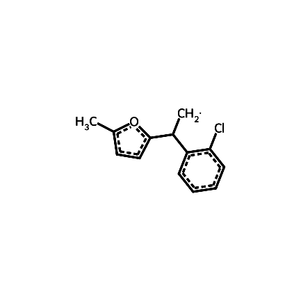 [CH2]C(c1ccc(C)o1)c1ccccc1Cl